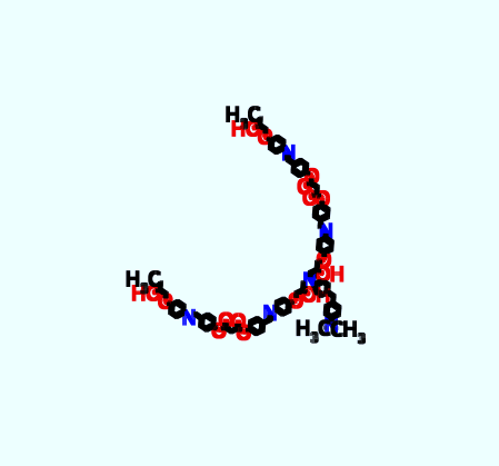 CCC(O)COc1ccc(/N=C/c2ccc(OC(=O)CC(=O)Oc3ccc(/C=N/c4ccc(OCC(O)CN(CC(O)COc5ccc(/N=C/c6ccc(OC(=O)CC(=O)Oc7ccc(/C=N/c8ccc(OCC(O)CC)cc8)cc7)cc6)cc5)c5ccc(Cc6ccc(N(C)C)cc6)cc5)cc4)cc3)cc2)cc1